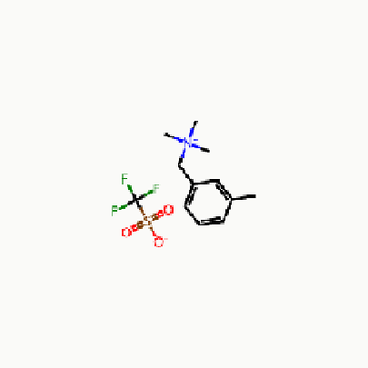 Cc1cccc(C[N+](C)(C)C)c1.O=S(=O)([O-])C(F)(F)F